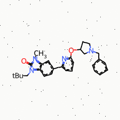 Cn1c(=O)n(CC(C)(C)C)c2ccc(-c3cccc(OC4CCN(Cc5ccccc5)C4)n3)cc21